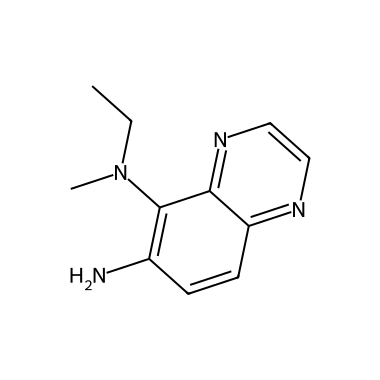 CCN(C)c1c(N)ccc2nccnc12